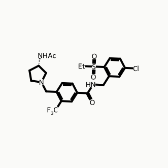 CCS(=O)(=O)c1ccc(Cl)cc1CNC(=O)c1ccc(CN2CC[C@H](NC(C)=O)C2)c(C(F)(F)F)c1